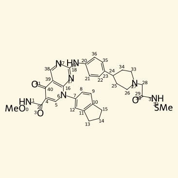 CONC(=O)c1cn(-c2ccc3c(c2)CCC3)c2nc(Nc3ccc(C4CCN(CC(=O)NSC)CC4)cc3)ncc2c1=O